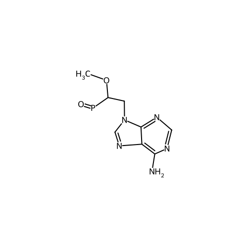 COC(Cn1cnc2c(N)ncnc21)P=O